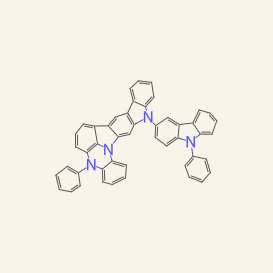 c1ccc(N2c3ccccc3-n3c4cc5c(cc4c4cccc2c43)c2ccccc2n5-c2ccc3c(c2)c2ccccc2n3-c2ccccc2)cc1